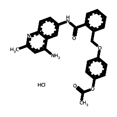 CC(=O)Oc1ccc(OCc2ccccc2C(=O)Nc2ccc3nc(C)cc(N)c3c2)cc1.Cl